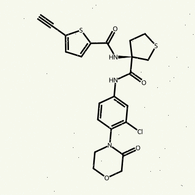 C#Cc1ccc(C(=O)N[C@@]2(C(=O)Nc3ccc(N4CCOCC4=O)c(Cl)c3)CCSC2)s1